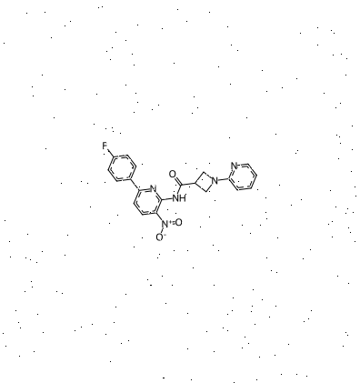 O=C(Nc1nc(-c2ccc(F)cc2)ccc1[N+](=O)[O-])C1CN(c2ccccn2)C1